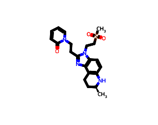 C[C@H]1CCc2c(ccc3c2nc(CCn2ccccc2=O)n3CCS(C)(=O)=O)N1